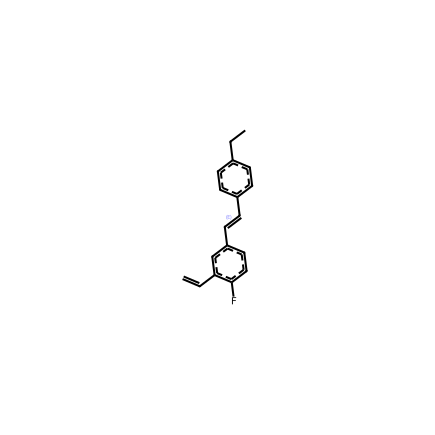 C=Cc1cc(/C=C/c2ccc(CC)cc2)ccc1F